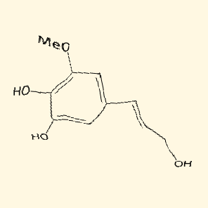 COc1cc(C=CCO)cc(O)c1O